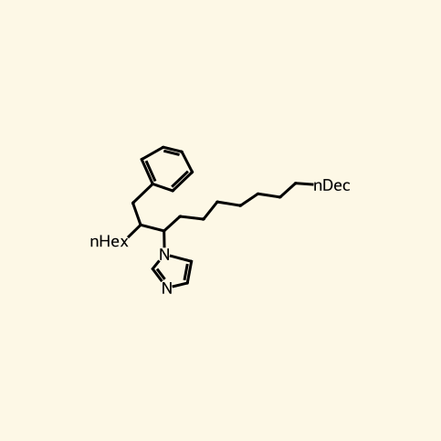 CCCCCCCCCCCCCCCCCC(C(CCCCCC)Cc1ccccc1)n1ccnc1